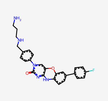 NCCCNCc1ccc(-n2cc3c(nc2=O)Nc2ccc(-c4ccc(F)cc4)cc2O3)cc1